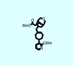 COC(=O)CC1=CC2COCC1CC(CC1=CCCC(c3cccnc3OC)CC1)C2